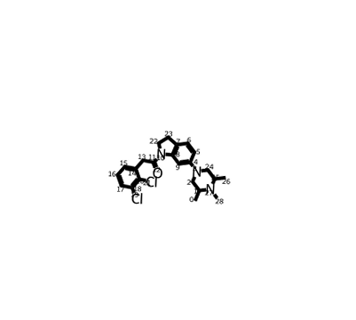 CC1CN(c2ccc3c(c2)N(C(=O)Cc2cccc(Cl)c2Cl)CC3)CC(C)N1C